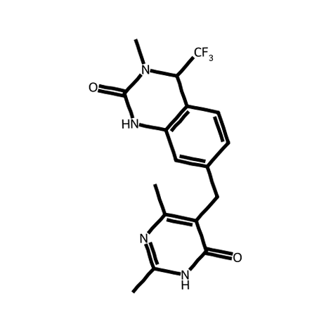 Cc1nc(C)c(Cc2ccc3c(c2)NC(=O)N(C)C3C(F)(F)F)c(=O)[nH]1